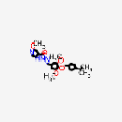 COc1cc(C(=O)N/N=C/c2cc(OC)c(OCc3ccc(C(C)C)cc3)c(OC)c2)ccn1